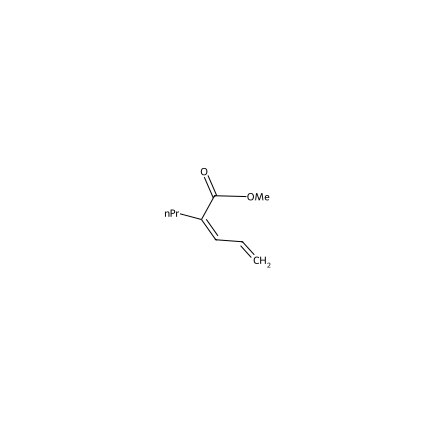 C=CC=C(CCC)C(=O)OC